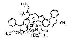 CCCCC1=Cc2c(-c3ccccc3C(C)C)cccc2[CH]1[Zr]([Cl])([Cl])([BH]N([Si](C)(C)C)[Si](C)(C)C)[CH]1C(CCCC)=Cc2c(-c3ccccc3C(C)C)cccc21